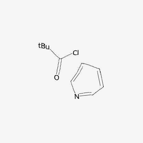 CC(C)(C)C(=O)Cl.c1ccncc1